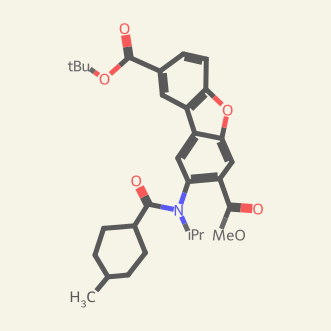 COC(=O)c1cc2oc3ccc(C(=O)OC(C)(C)C)cc3c2cc1N(C(=O)C1CCC(C)CC1)C(C)C